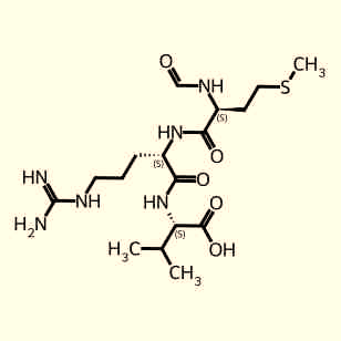 CSCC[C@H](NC=O)C(=O)N[C@@H](CCCNC(=N)N)C(=O)N[C@H](C(=O)O)C(C)C